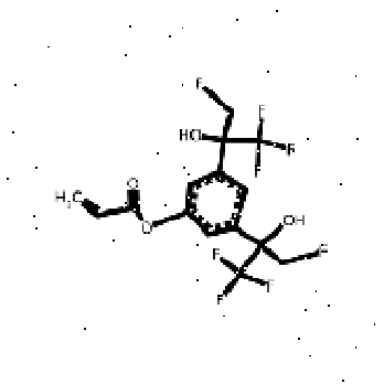 C=CC(=O)Oc1cc(C(O)(CF)C(F)(F)F)cc(C(O)(CF)C(F)(F)F)c1